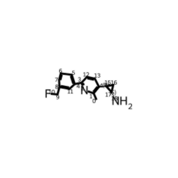 Cc1nc(-c2cccc(CF)c2)ccc1[C@H]1C[C@@H]1N